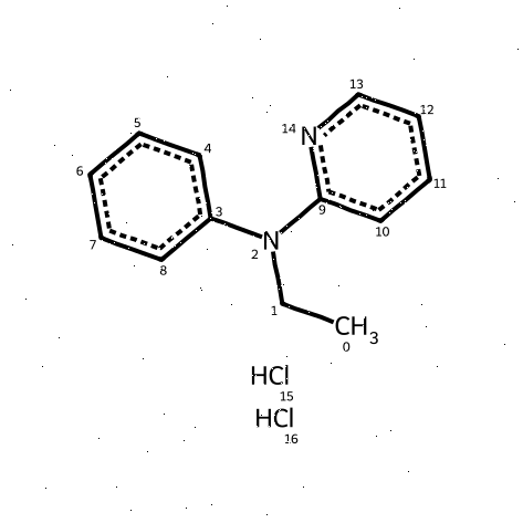 CCN(c1ccccc1)c1ccccn1.Cl.Cl